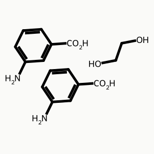 Nc1cccc(C(=O)O)c1.Nc1cccc(C(=O)O)c1.OCCO